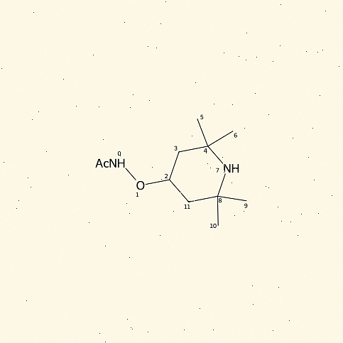 CC(=O)NOC1CC(C)(C)NC(C)(C)C1